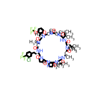 CC[C@H](C)[C@@H]1NC(=O)[C@H](CC(C)C)N(C)C(=O)C[C@@H](C)NC(=O)[C@H](C(C)C)N(C)C(=O)C2(CCCC2)NC(=O)[C@@H]2CCCN2C(=O)[C@H](CCc2ccc(C(F)(F)F)c(Cl)c2)NC(=O)CN(C)C(=O)[C@H](Cc2ccccc2OC(F)(F)F)N(C)C(=O)CN(C)C(=O)CN(C)C1=O